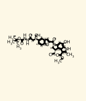 COC(=O)c1c(C)[nH]c2c(O)cc3c(c12)[C@H](CCl)CN3C(=O)c1cc2cc(N(C)CC(=O)NNC(=O)OC(C)(C)C)ccc2o1